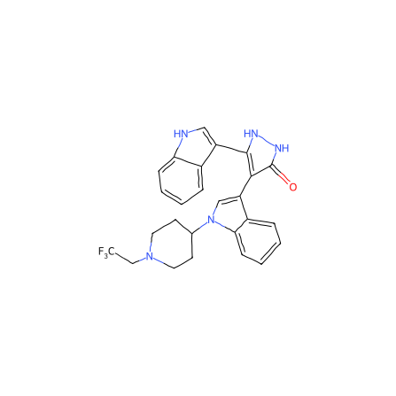 O=c1[nH][nH]c(-c2c[nH]c3ccccc23)c1-c1cn(C2CCN(CC(F)(F)F)CC2)c2ccccc12